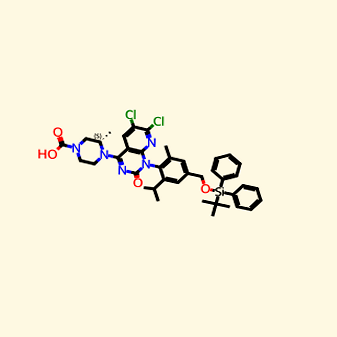 Cc1cc(CO[Si](c2ccccc2)(c2ccccc2)C(C)(C)C)cc(C(C)C)c1-n1c(=O)nc(N2CCN(C(=O)O)C[C@@H]2C)c2cc(Cl)c(Cl)nc21